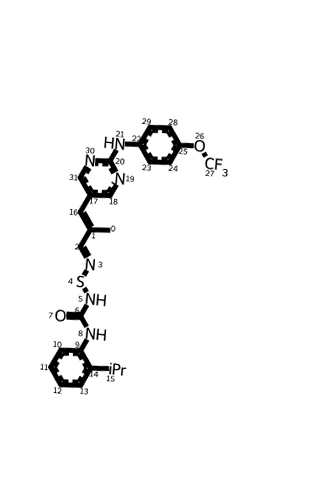 CC(/C=N/SNC(=O)Nc1ccccc1C(C)C)=C\c1cnc(Nc2ccc(OC(F)(F)F)cc2)nc1